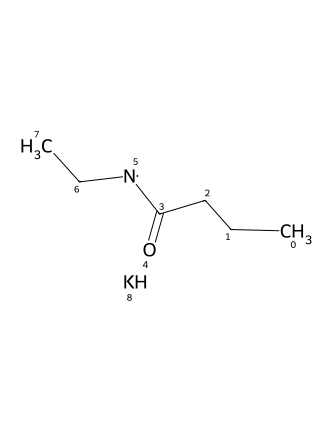 CCCC(=O)[N]CC.[KH]